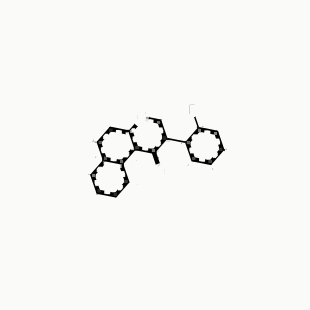 O=c1c(-c2ccccc2F)coc2ccc3ccccc3c12